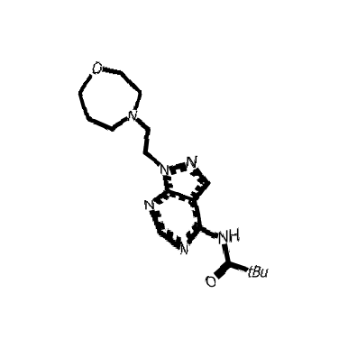 CC(C)(C)C(=O)Nc1ncnc2c1cnn2CCN1CCCOCC1